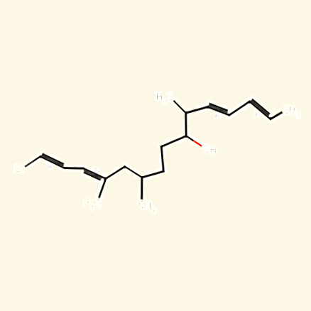 C/C=C/C=C/C(C)C(O)CCC(C)C/C(C)=C/C=C/CC